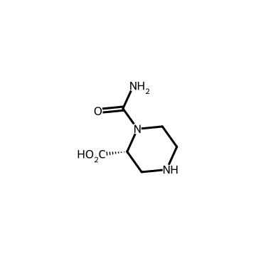 NC(=O)N1CCNC[C@@H]1C(=O)O